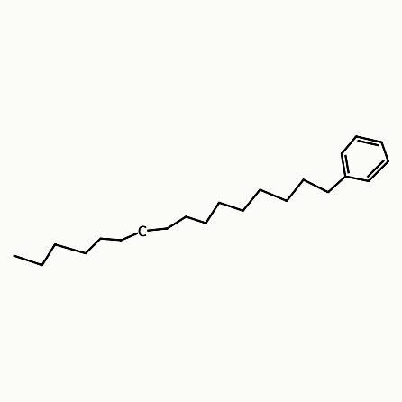 CCCCCCCCCCCCCCCCc1ccccc1